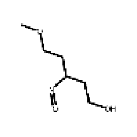 COCCC(CCO)N=O